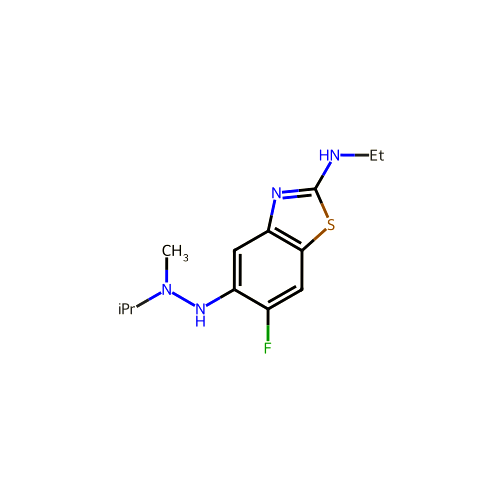 CCNc1nc2cc(NN(C)C(C)C)c(F)cc2s1